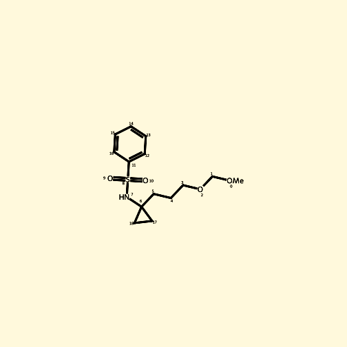 COCOCCCC1(NS(=O)(=O)c2ccccc2)CC1